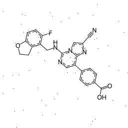 N#Cc1cn2c(NCc3c(F)ccc4c3CCO4)ncc(-c3ccc(C(=O)O)cc3)c2n1